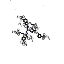 CC1(C)C(/C=C/C(=C/C=C2/N(CCCS(=O)(=O)O)c3ccc(S(=O)(=O)O)cc3C2(C)C)c2ccc(C(=O)NCc3cccc(S(N)(=O)=O)c3)cn2)=[N+](CCCS(=O)(=O)O)c2ccc(S(=O)(=O)O)cc21